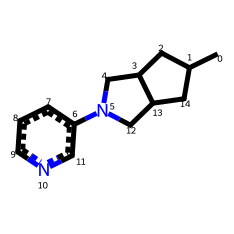 CC1CC2CN(c3cccnc3)CC2C1